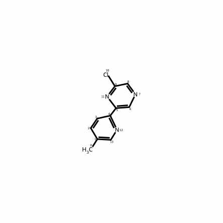 Cc1ccc(-c2cncc(Cl)n2)nc1